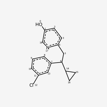 Oc1ccc(CC(c2cccc(Cl)c2)C2CC2)nc1